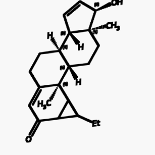 CCC1C2C(=O)C=C3CC[C@H]4[C@@H]5C=C[C@@H](O)[C@@]5(C)CC[C@@H]4[C@@]3(C)C12